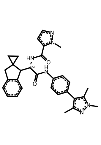 Cc1nn(C)c(C)c1-c1ccc(NC(=O)[C@@H](NC(=O)c2ccnn2C)C2c3ccccc3CC23CC3)cc1